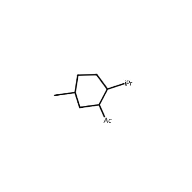 CC(=O)C1CC(C)CCC1C(C)C